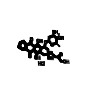 C[C@@H]1O[C@@H](OC2CC(O)(OCC(=O)CO)Cc3c(O)c4c(c(O)c32)C(=O)c2ccccc2C4=O)C[C@H](N)[C@@H]1O.Cl